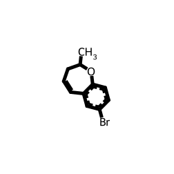 CC1CC=Cc2cc(Br)ccc2O1